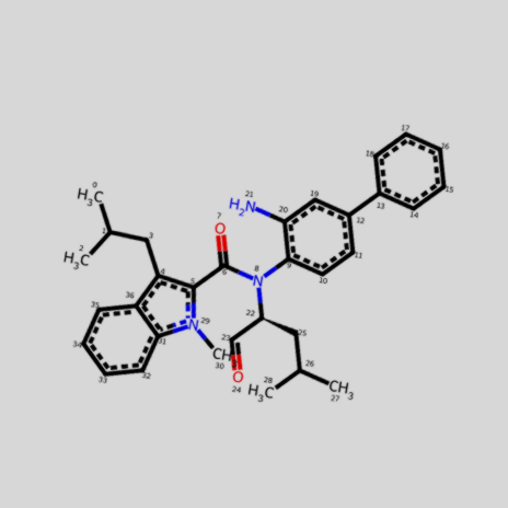 CC(C)Cc1c(C(=O)N(c2ccc(-c3ccccc3)cc2N)[C@H](C=O)CC(C)C)n(C)c2ccccc12